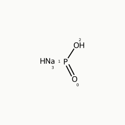 O=PO.[NaH]